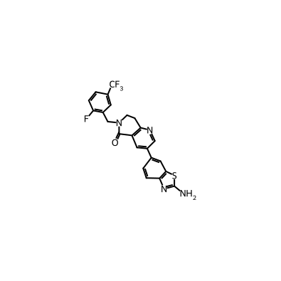 Nc1nc2ccc(-c3cnc4c(c3)C(=O)N(Cc3cc(C(F)(F)F)ccc3F)CC4)cc2s1